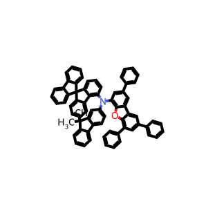 CC1(C)c2ccccc2-c2ccc(N(c3cccc4c3-c3ccccc3C43c4ccccc4-c4ccccc43)c3cc(-c4ccccc4)cc4c3oc3c(-c5ccccc5)cc(-c5ccccc5)cc34)cc21